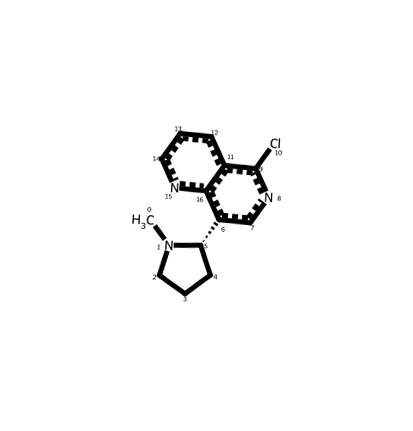 CN1CCC[C@H]1c1cnc(Cl)c2cccnc12